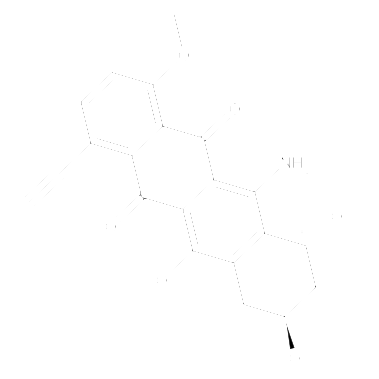 C#Cc1ccc(OC)c2c1C(=O)c1c(O)c3c(c(N)c1C2=O)[C@H](O)C[C@@H](O)C3